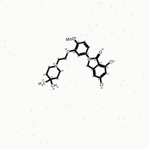 COc1ccc(N2Cc3cc(Cl)cc(Cl)c3C2=O)cc1OCCN1CCC(C)(C)CC1